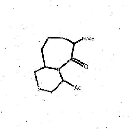 CNC1CCCC2CSCC(C(C)=O)N2C1=O